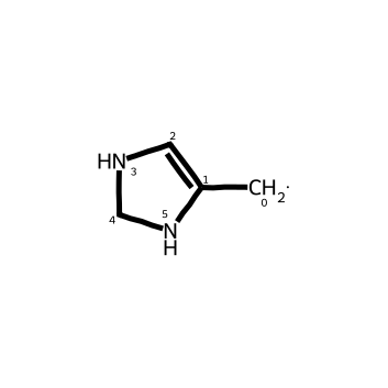 [CH2]C1=CNCN1